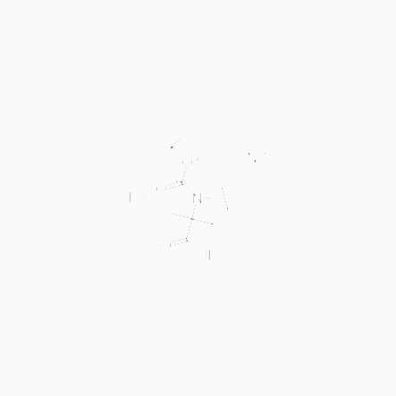 CC(C)(C)OC(=O)NC(C)(/C=C\CC#N)C(=O)O.[KH]